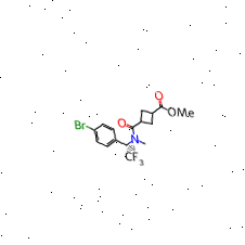 COC(=O)C1CC(C(=O)N(C)[C@@H](c2ccc(Br)cc2)C(F)(F)F)C1